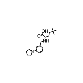 CC(C)(C)CCC(NCc1cccc(N2CCCC2)c1)C(=O)O